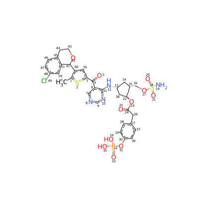 Cc1sc(C(=O)c2cncnc2N[C@@H]2C[C@H](COS(N)(=O)=O)[C@@H](OC(=O)Cc3ccc(OP(=O)(O)O)cc3)C2)cc1C1OCCc2ccc(Cl)cc21